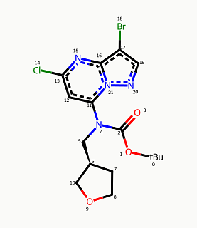 CC(C)(C)OC(=O)N(C[C@H]1CCOC1)c1cc(Cl)nc2c(Br)cnn12